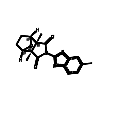 Cc1ccc2nc(N3C(=O)[C@@]4(C)[C@@H]5CC[C@@H](O5)[C@@]4(C)C3=O)sc2c1